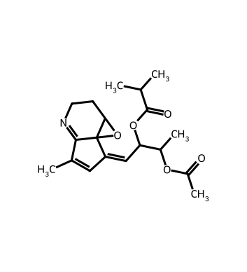 CC(=O)OC(C)C(/C=C1/C=C(C)C2=NCCC3OC213)OC(=O)C(C)C